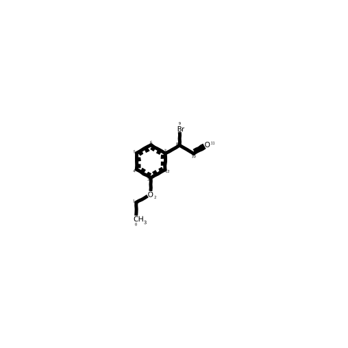 CCOc1cccc(C(Br)C=O)c1